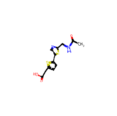 CC(=O)NCc1ncc(-c2ccc(C(=O)O)s2)s1